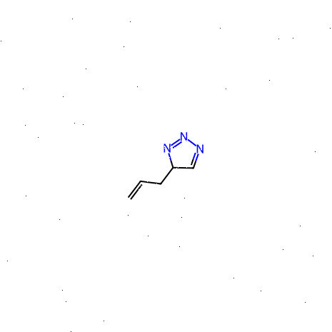 C=CCC1C=NN=N1